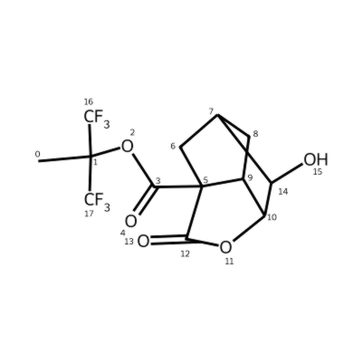 CC(OC(=O)C12CC3CC1C(OC2=O)C3O)(C(F)(F)F)C(F)(F)F